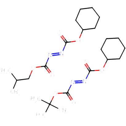 CC(C)(C)OC(=O)N=NC(=O)OC1CCCCC1.CC(C)COC(=O)N=NC(=O)OC1CCCCC1